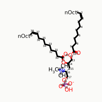 CCCCCCCC/C=C\CCCCCCCC(=O)OCC(C[C@H](COP(=O)([O-])O)[N+](C)(C)C)OC(=O)CCCCCCC/C=C\CCCCCCCC